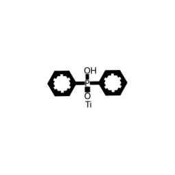 O=P(O)(c1ccccc1)c1ccccc1.[Ti]